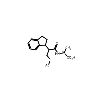 CC(=O)SCC(C(=O)N[C@@H](C)C(=O)O)C1CCc2ccccc21